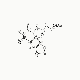 COCCC(=O)NCN(C)C(C)C(=O)c1ccc2c(c1)OCO2